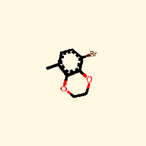 Cc1ccc(Br)c2c1OCCO2